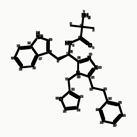 CC(C)(N)C(=O)N[C@H](Cc1c[nH]c2ccccc12)c1nnc(CCc2ccccc2)n1Cc1ccco1